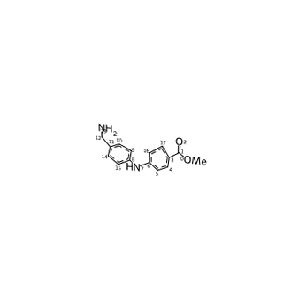 COC(=O)c1ccc(Nc2ccc(CN)cc2)cc1